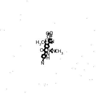 CC(C)c1cc2c(=O)c3c4ccc(C#N)cc4[nH]c3n(C3CN(C)C3)c2cc1-c1cncc(OS(=O)(=O)F)c1